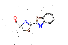 O=C[C@H]1CSC(c2nc3ccccc3s2)=N1